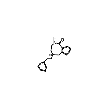 O=C1NCC[C@H](CCc2ccccc2)Cc2ccccc21